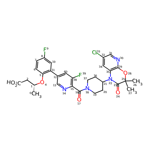 C[C@H](CC(=O)O)Oc1ccc(F)cc1-c1cnc(C(=O)N2CCC(N3C(=O)C(C)(C)Oc4ncc(Cl)cc43)CC2)c(F)c1